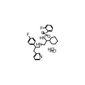 Cl.Cl.O=S(=O)(NC(CNCC(Cc1cccnc1)c1ccc(F)cc1)C1CCCCC1)c1ccccc1F